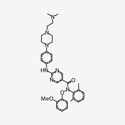 COc1ccccc1ON(C(=O)c1cnc(Nc2ccc(N3CCN(CCN(C)C)CC3)cc2)nc1)c1c(C)cccc1C